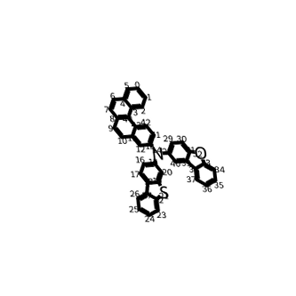 c1ccc2c(c1)ccc1ccc3cc(N(c4ccc5c(c4)sc4ccccc45)c4ccc5oc6ccccc6c5c4)ccc3c12